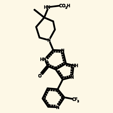 CC1(NC(=O)O)CCN(c2nc3[nH]nc(-c4cccnc4C(F)(F)F)c3c(=O)[nH]2)CC1